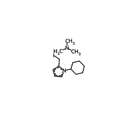 CN(C)C.ICc1cccn1C1CCCCC1